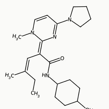 CC/C(C)=C\C(C(=O)NC1CCC(O)CC1)=C1\N=C(N2CCCC2)C=CN1C